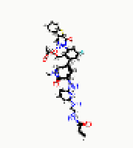 C=CC(=O)NCCNc1cccc(Nc2cc(-c3cc(F)cc(-n4ncc5c6c(sc5c4=O)CCCC6)c3COC(C)=O)cn(C)c2=O)n1